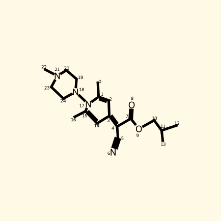 CC1=CC(=C(C#N)C(=O)OCC(C)C)C=C(C)N1N1CCN(C)CC1